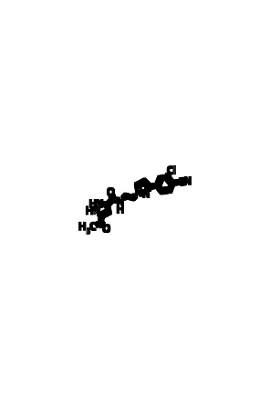 CC(=O)C1=CC(C(=O)NCCn2ccc(-c3ccc(C#N)c(Cl)c3)n2)NN1